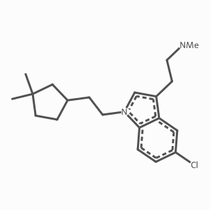 CNCCc1cn(CCC2CCC(C)(C)C2)c2ccc(Cl)cc12